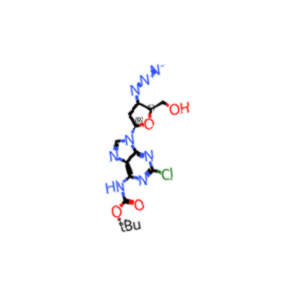 CC(C)(C)OC(=O)Nc1nc(Cl)nc2c1ncn2[C@H]1CC(N=[N+]=[N-])[C@@H](CO)O1